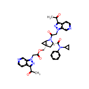 CC(=O)c1nn(CC(=O)OC[C@]23CC2N(C(=O)Cn2nc(C(C)=O)c4ccncc42)[C@H](C(=O)N(c2ccccc2)C2CC2)C3)c2cnccc12